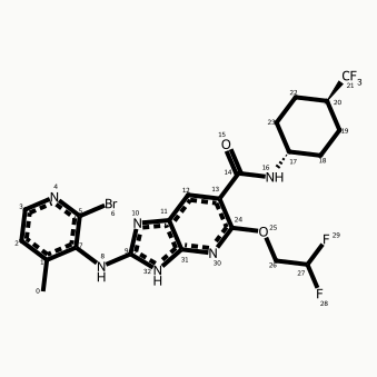 Cc1ccnc(Br)c1Nc1nc2cc(C(=O)N[C@H]3CC[C@H](C(F)(F)F)CC3)c(OCC(F)F)nc2[nH]1